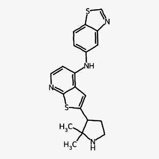 CC1(C)NCCC1c1cc2c(Nc3ccc4scnc4c3)ccnc2s1